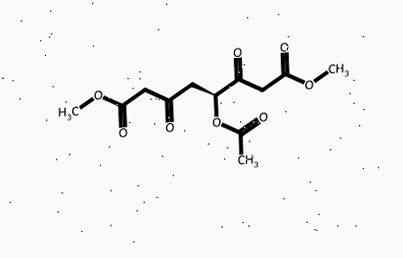 COC(=O)CC(=O)C[C@H](OC(C)=O)C(=O)CC(=O)OC